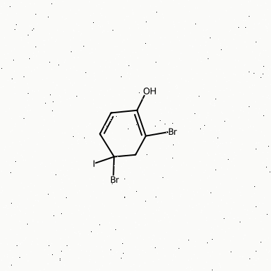 OC1=C(Br)CC(Br)(I)C=C1